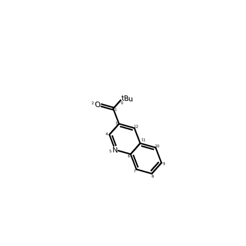 CC(C)(C)C(=O)c1cnc2ccccc2c1